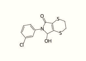 O=C1C2=C(SCCS2)C(O)N1c1cccc(Cl)c1